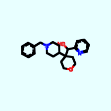 OC(c1ccccn1)C1(C2CCN(Cc3ccccc3)CC2)CCOCC1